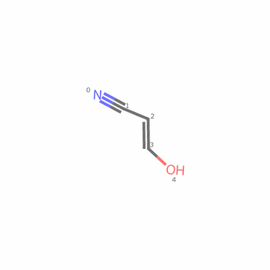 N#CC=CO